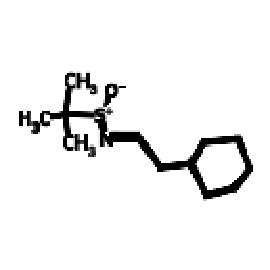 CC(C)(C)[S@+]([O-])/N=C/CC1CCCCC1